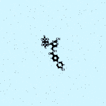 CCN1CCN(c2ccc(C(=O)NCc3cnc(C#N)nc3NCC(C)(S(C)(=O)=O)S(C)(=O)=O)cc2)CC1